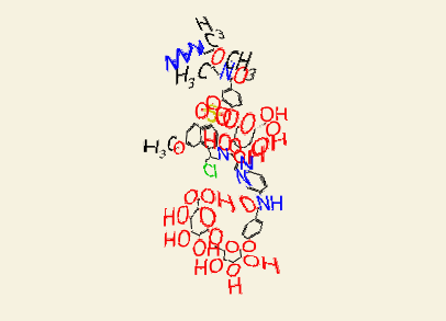 COc1ccc2c(S(=O)(=O)Oc3cc(C(=O)N(C)CC(C)OC(C)CN=[N+]=[N-])ccc3O[C@@H]3O[C@H](C(=O)O)[C@@H](O)[C@H](O)C3O)cc3c(c2c1)[C@H](CCl)CN3C(=O)c1cn2cc(NC(=O)c3ccc(OC4O[C@H](CO[C@@H]5O[C@H](C(=O)O)[C@@H](O)[C@H](O)[C@H]5O)[C@H](O)[C@H](O)[C@H]4O)cc3)ccc2n1